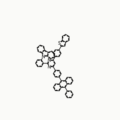 c1ccc(-c2c3ccccc3c(-c3ccc(-c4cc(-c5ccc(-c6cc7ccccc7s6)cc5)nc(-c5ccccc5-n5c6ccccc6c6ccccc65)n4)cc3)c3ccccc23)cc1